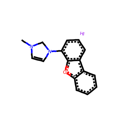 CN1C=CN(c2cccc3c2oc2ccccc23)C1.I